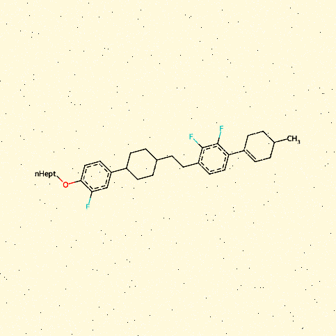 CCCCCCCOc1ccc(C2CCC(CCc3ccc(C4=CCC(C)CC4)c(F)c3F)CC2)cc1F